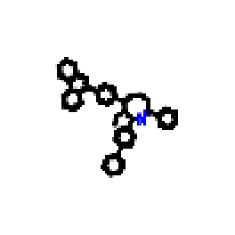 CCC1/C(c2ccc(-c3cc4ccccc4c4ccccc34)cc2)=C\CC/C(c2ccccc2)=N\C1c1ccc(-c2ccccc2)cc1